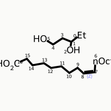 CCC(O)CCO.CCCCCCCC/C=C\CCCCCCCC(=O)O